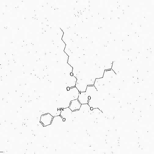 CCCCCCCCOCC(=O)N(C/C=C(\C)CCC=C(C)C)c1cc(NC(=O)c2ccccc2)ccc1C(=O)OCC